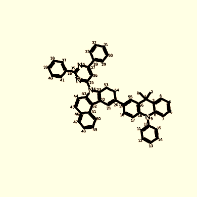 CC1(C)c2ccccc2N(c2ccccc2)c2ccc(C3=Cc4c(n(-c5cc(-c6ccccc6)nc(-c6ccccc6)n5)c5ccc6ccccc6c45)CC3)cc21